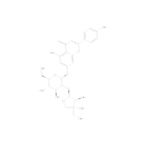 O=c1cc(-c2ccc(O)cc2)oc2cc(O[C@@H]3O[C@H](CO)[C@@H](O)[C@H](O)C3O[C@@H]3OC[C@](O)(CO)[C@@H]3O)cc(O)c12